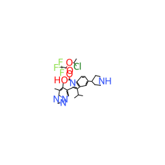 CC(Cl)OC(=O)C(F)(F)F.Cc1c(-c2c(C(C)C)c3cc(C4CCNCC4)ccc3n2C(=O)O)cn2ncnc2c1C